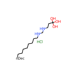 CCCCCCCCCCCCCCCCCCNCNCCC(O)(O)O.Cl